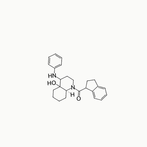 O=C(C1CCc2ccccc21)N1CCC(Nc2ccccc2)C2(O)CCCC[C@H]12